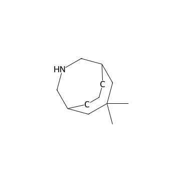 CC1(C)CC2CCCC(CNC2)C1